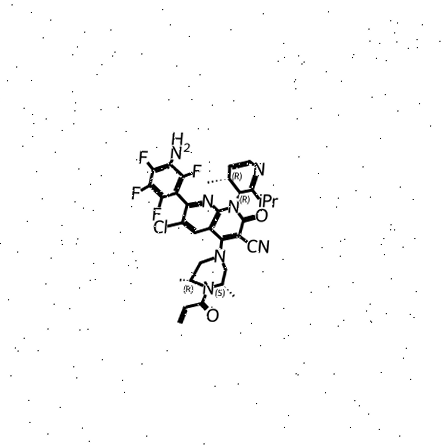 C=CC(=O)N1[C@H](C)CN(c2c(C#N)c(=O)n([C@H]3C(C(C)C)=NC=C[C@H]3C)c3nc(-c4c(F)c(N)c(F)c(F)c4F)c(Cl)cc23)C[C@@H]1C